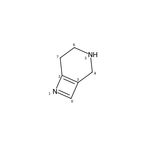 C1=NC2=C1CNCC2